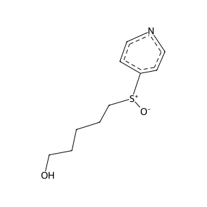 [O-][S+](CCCCCO)c1ccncc1